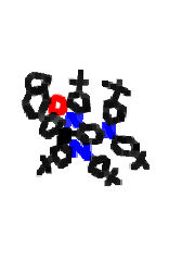 CC(C)(C)c1ccc(N(c2ccc(C(C)(C)C)cc2)c2cc3c4c(c2)N(c2ccc(C(C)(C)C)cc2)c2c(ccc5c2oc2c6c(ccc25)CCC6)B4c2cc(C(C)(C)C)ccc2N3c2ccc(C(C)(C)C)cc2)cc1